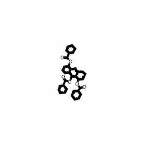 O=C(Oc1cccc2c(OC(=O)c3ccccc3)c3c(OC(=O)c4ccccc4)cccc3cc12)c1ccccc1